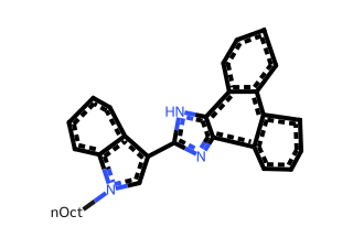 CCCCCCCCn1cc(-c2nc3c4ccccc4c4ccccc4c3[nH]2)c2ccccc21